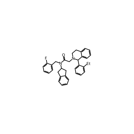 CCc1ccccc1C1c2ccccc2CCN1CC(=O)N(Cc1ccccc1F)C1Cc2ccccc2C1